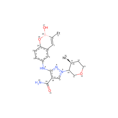 CCC1=Cc2cc(Nc3nn(C4COCC[C@@H]4C#N)cc3C(N)=O)ccc2OB1O